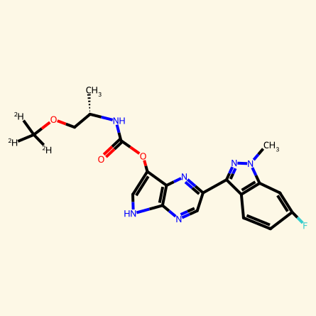 [2H]C([2H])([2H])OC[C@H](C)NC(=O)Oc1c[nH]c2ncc(-c3nn(C)c4cc(F)ccc34)nc12